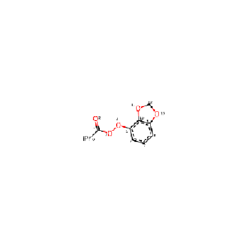 CC(C)C(=O)OOc1cccc2c1OCO2